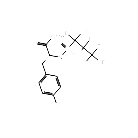 COC(=O)[C@H](Cc1ccc(O)cc1)NS(=O)(=O)C(F)(F)C(F)(F)C(F)(F)C(F)(F)F